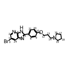 Brc1cnc2[nH]c(-c3ccc(OCCCN4CCCC4)cc3)nc2c1